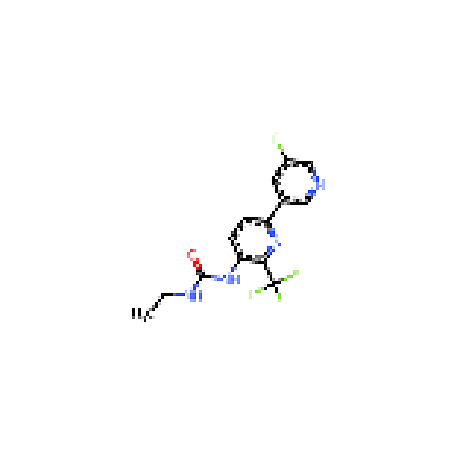 CCNC(=O)Nc1ccc(-c2cncc(F)c2)nc1C(F)(F)F